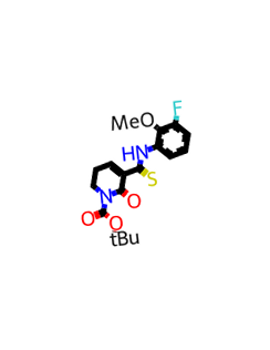 COc1c(F)cccc1NC(=S)C1=CCCN(C(=O)OC(C)(C)C)C1=O